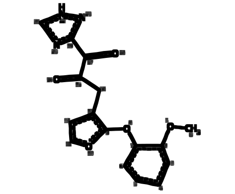 COc1ccccc1Oc1occc1CC(=O)C(=O)c1nc[nH]n1